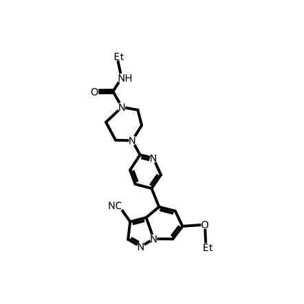 CCNC(=O)N1CCN(c2ccc(-c3cc(OCC)cn4ncc(C#N)c34)cn2)CC1